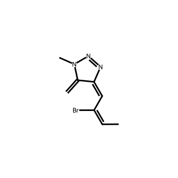 C=c1/c(=C\C(Br)=C/C)nnn1C